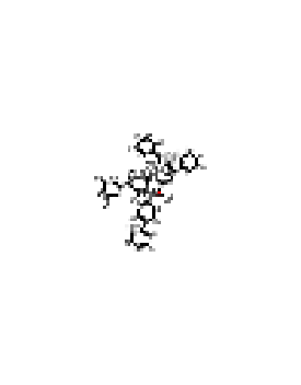 Cc1cc(C)cc(C(=O)N(C)[C@@H](Cc2ccc(-c3ccccc3)cc2)C(=O)N([C@@H](Cc2c[nH]c3ccccc23)C(N)=O)S(=O)(=O)Cc2ccccc2)c1